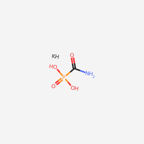 NC(=O)P(=O)(O)O.[KH]